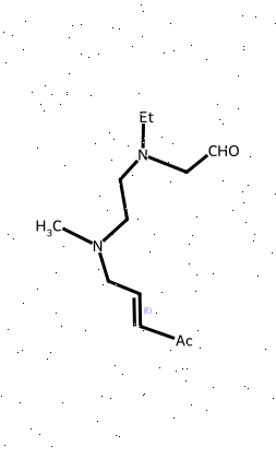 CCN(CC=O)CCN(C)C/C=C/C(C)=O